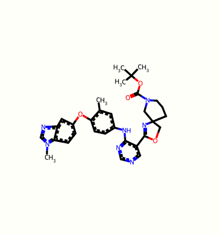 Cc1cc(Nc2ncncc2C2=NC3(CCCN(C(=O)OC(C)(C)C)C3)CO2)ccc1Oc1ccc2c(c1)ncn2C